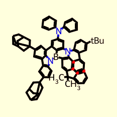 CC(C)(C)c1ccc(N2c3cc4c(cc3B3c5c(cc(N(c6ccccc6)c6ccccc6)cc52)-c2cc(C56CC7CC(CC(C7)C5)C6)cc5c6cc(C78CC9CC(CC(C9)C7)C8)ccc6n3c25)C(C)(C)c2ccccc2-4)c(-c2ccccc2)c1